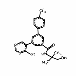 CC(C)c1ncncc1-c1cc(C(=O)NC(C)(C)CO)cc(-c2ccc(C(F)(F)F)cc2)c1